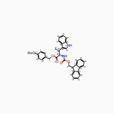 COc1ccc(COC(=O)[C@H](NC(=O)OCC2c3ccccc3-c3ccccc32)[C@@H](C)c2c[nH]c3ccccc23)cc1